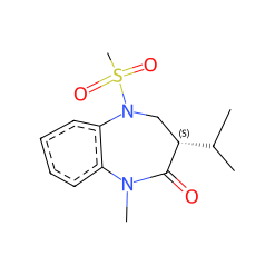 CC(C)[C@H]1CN(S(C)(=O)=O)c2ccccc2N(C)C1=O